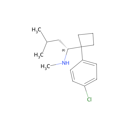 CN[C@H](CC(C)C)C1(c2ccc(Cl)cc2)CCC1